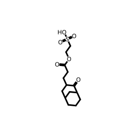 O=C(CCC1CC2CCCC(C2)C1=O)OCCS(=O)(=O)O